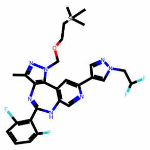 Cc1nn(COCC[Si](C)(C)C)c2c1N=C(c1c(F)cccc1F)Nc1cnc(-c3cnn(CC(F)F)c3)cc1-2